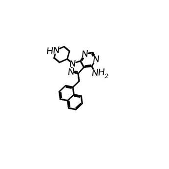 Nc1ncnc2c1c(Cc1cccc3ccccc13)nn2C1CCNCC1